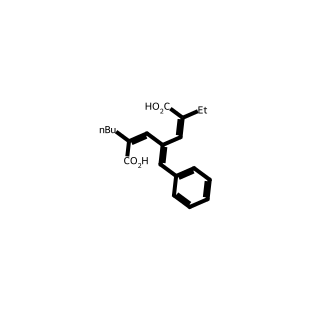 CCCCC(=CC(=Cc1ccccc1)C=C(CC)C(=O)O)C(=O)O